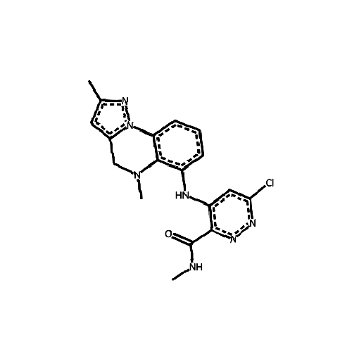 CNC(=O)c1nnc(Cl)cc1Nc1cccc2c1N(C)Cc1cc(C)nn1-2